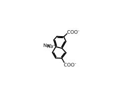 O=C([O-])c1ccc2ccc(C(=O)[O-])cc2c1.[Na+].[Na+]